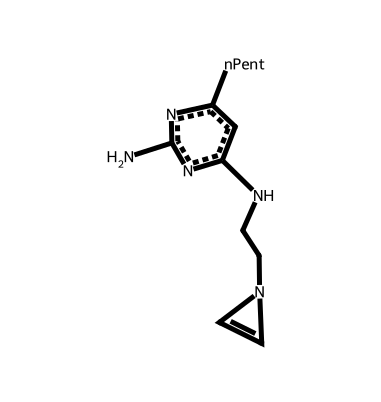 CCCCCc1cc(NCCN2C=C2)nc(N)n1